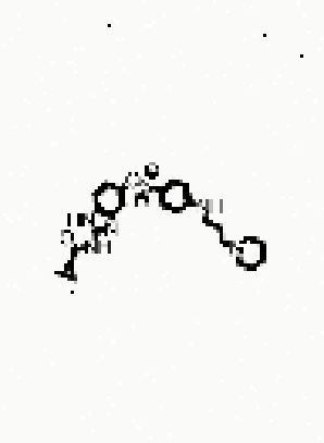 O=C(Nc1nc2cc(OS(=O)(=O)c3ccc(NCCCN4CCCCC4)cc3)ccc2[nH]1)C1CC1